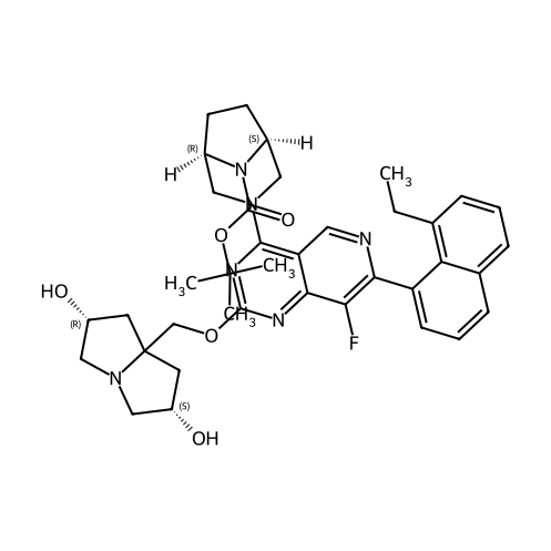 CCc1cccc2cccc(-c3ncc4c(N5C[C@H]6CC[C@@H](C5)N6C(=O)OC(C)(C)C)nc(OCC56C[C@H](O)CN5C[C@H](O)C6)nc4c3F)c12